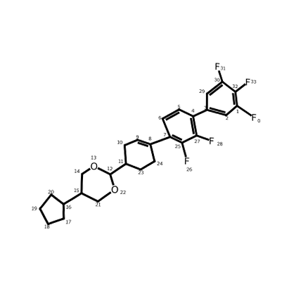 Fc1cc(-c2ccc(C3=CCC(C4OCC(C5CCCC5)CO4)CC3)c(F)c2F)cc(F)c1F